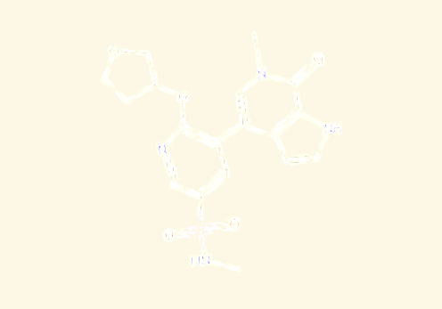 CNS(=O)(=O)c1cnc(OC2CCOC2)c(-c2cn(C)c(=O)c3[nH]ccc23)c1